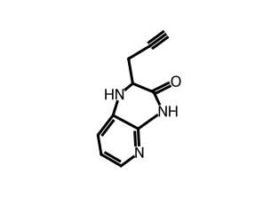 C#CCC1Nc2cccnc2NC1=O